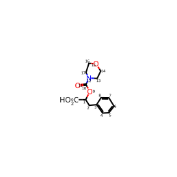 O=C(O)C(Cc1ccccc1)OC(=O)N1CCOCC1